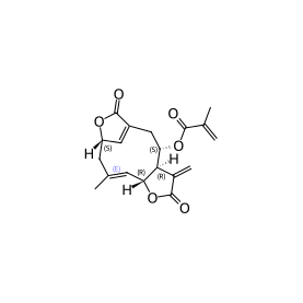 C=C(C)C(=O)O[C@H]1CC2=C[C@H](C/C(C)=C/[C@H]3OC(=O)C(=C)[C@H]13)OC2=O